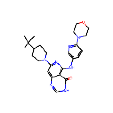 CC(C)(C)C1CCN(c2cc3nc[nH]c(=O)c3c(Nc3ccc(N4CCOCC4)nc3)n2)CC1